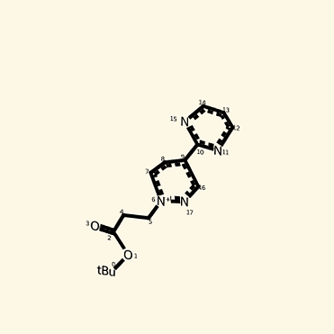 CC(C)(C)OC(=O)CC[n+]1ccc(-c2ncccn2)cn1